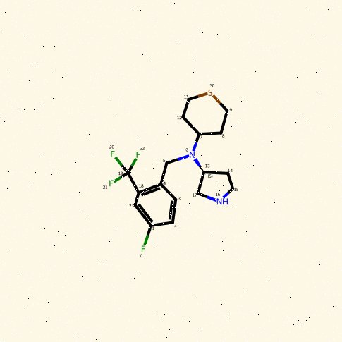 Fc1ccc(CN(C2CCSCC2)[C@H]2CCNC2)c(C(F)(F)F)c1